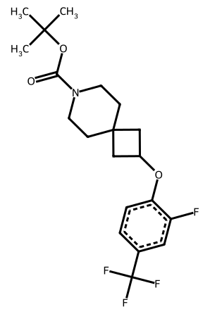 CC(C)(C)OC(=O)N1CCC2(CC1)CC(Oc1ccc(C(F)(F)F)cc1F)C2